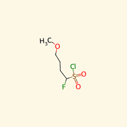 COCCCC(F)S(=O)(=O)Cl